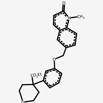 CCOC(=O)C1(c2cccc(OCc3ccc4c(ccc(=O)n4C)c3)c2)CCOCC1